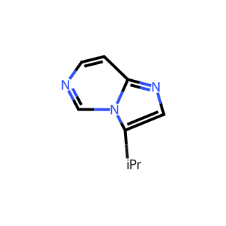 CC(C)c1cnc2ccncn12